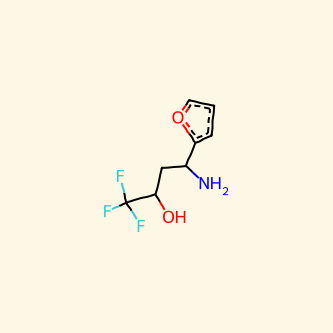 NC(CC(O)C(F)(F)F)c1ccco1